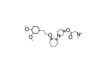 COc1ccc(CCO[C@@H]2CCCC[C@H]2N2CC[C@@H](OC(=O)CN(C)C)C2)cc1OC